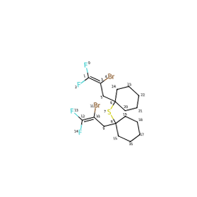 FC(F)=C(Br)CC1(SC2(CC(Br)=C(F)F)CCCCC2)CCCCC1